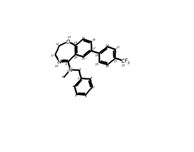 CN(Cc1ccccc1)C1=NCCOc2ccc(-c3ccc(C(F)(F)F)cc3)cc21